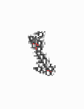 Cc1ccccc1N(c1ccccc1-c1ccccc1)c1ccc2cc3c(cc2c1C)oc1cc2c(C)c(N(c4ccccc4C)c4ccccc4C4C=CC=CC4)ccc2cc13